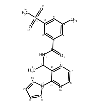 CC(NC(=O)c1cc(C(F)(F)F)cc(S(=O)(=O)C(F)(F)F)c1)c1nccnc1-n1nccn1